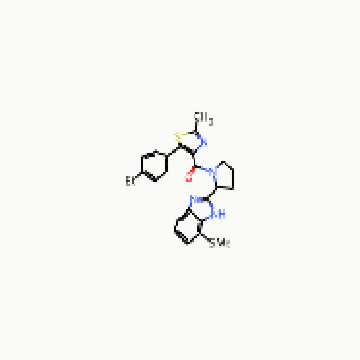 CCc1ccc(-c2sc(C)nc2C(=O)N2CCCC2c2nc3cccc(SC)c3[nH]2)cc1